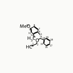 C#CCO[C@H](Cc1ccc(OC)cc1C)c1ccccc1